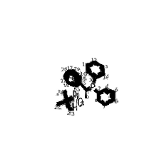 C[C@H](P(c1ccccc1)c1ccccc1)[C]12[CH]3[CH]4[CH]5[C@@]1([PH](=O)C(C)(C)C)[Fe]43521678[CH]2[CH]1[CH]6[CH]7[CH]28